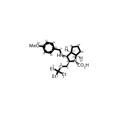 CCC(CC)(CC)OC[C@H]1[C@@H](NCc2ccc(OC)cc2)[C@H]2CCC[C@H]2N1C(=O)O